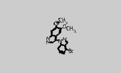 COc1cc2nncc(-n3ncc4c(Br)cccc43)c2cc1OC